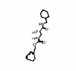 O=C(NC[C@H](O)C(=O)NCC1CCCCC1)OCc1ccccc1